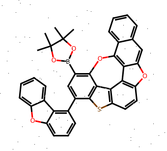 CC1(C)OB(c2cc(-c3cccc4oc5ccccc5c34)c3sc4ccc5oc6cc7ccccc7c7oc2c3c4c5c67)OC1(C)C